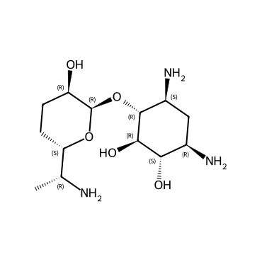 C[C@@H](N)[C@@H]1CC[C@@H](O)[C@@H](O[C@H]2[C@H](O)[C@@H](O)[C@H](N)C[C@@H]2N)O1